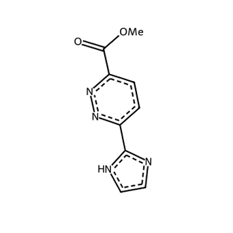 COC(=O)c1ccc(-c2ncc[nH]2)nn1